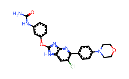 NC(=O)Nc1cccc(Oc2nc3nc(-c4ccc(N5CCOCC5)cc4)c(Cl)cc3[nH]2)c1